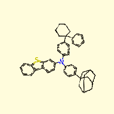 c1ccc(C2(c3ccc(N(c4ccc(C56CC7CC(CC(C7)C5)C6)cc4)c4ccc5c(c4)sc4ccccc45)cc3)CCCCC2)cc1